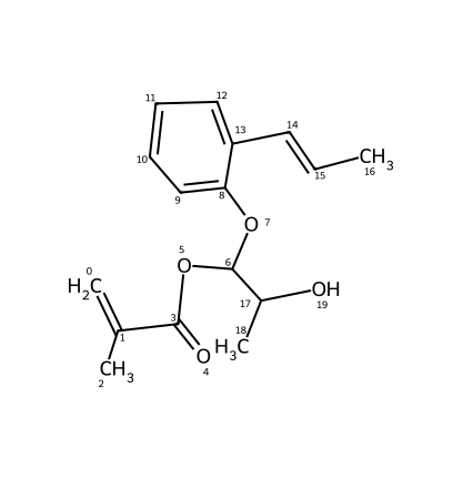 C=C(C)C(=O)OC(Oc1ccccc1C=CC)C(C)O